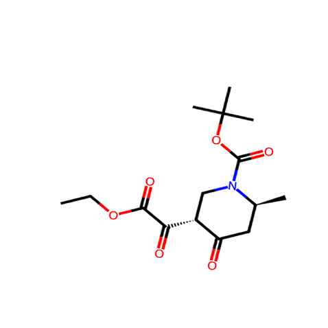 CCOC(=O)C(=O)[C@@H]1CN(C(=O)OC(C)(C)C)[C@@H](C)CC1=O